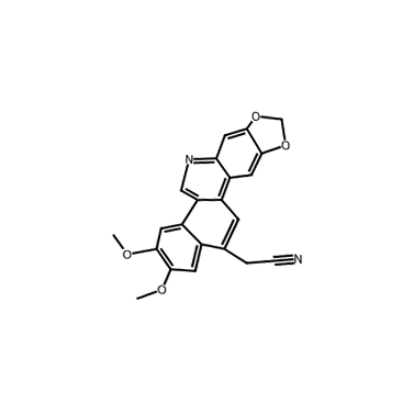 COc1cc2c(CC#N)cc3c4cc5c(cc4ncc3c2cc1OC)OCO5